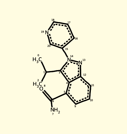 CC(C)c1c2c(C(N)=O)cccc2nn1-c1cccnc1